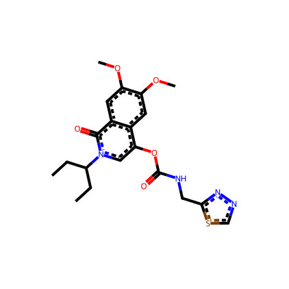 CCC(CC)n1cc(OC(=O)NCc2nncs2)c2cc(OC)c(OC)cc2c1=O